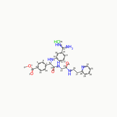 COC(=O)c1ccc(C(Nc2cccc(C(=N)N)c2)C(=O)NCC(=O)NCCc2ccccn2)cc1.Cl